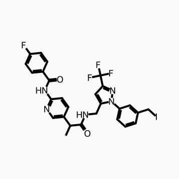 CC(C(=O)NCc1cc(C(F)(F)F)nn1-c1cccc(CI)c1)c1ccc(NC(=O)c2ccc(F)cc2)nc1